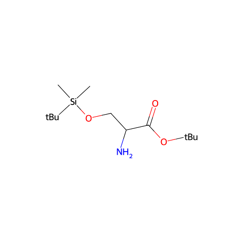 CC(C)(C)OC(=O)C(N)CO[Si](C)(C)C(C)(C)C